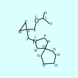 CC(C)OCC1(CN2CCC3(CCCCC3)C2)CC1